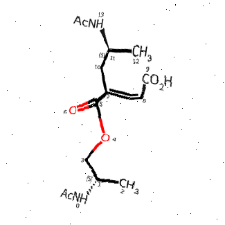 CC(=O)N[C@@H](C)COC(=O)C(=CC(=O)O)C[C@H](C)NC(C)=O